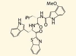 COc1cccc2[nH]c(C(=O)N[C@@H](CC(C)C)C(=O)N[C@@H](Cc3c[nH]c4ccccc34)C(=O)C3=NC4C=CC=CC4S3)cc12